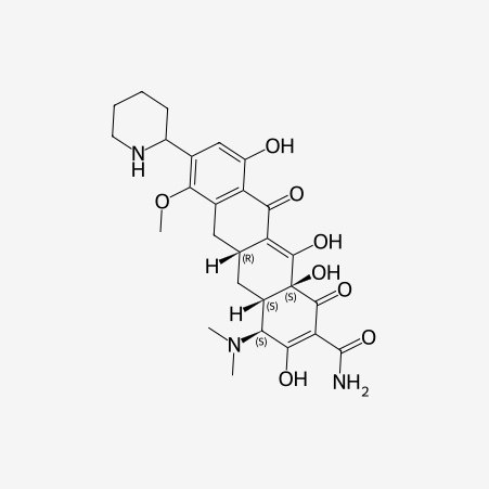 COc1c(C2CCCCN2)cc(O)c2c1C[C@H]1C[C@H]3[C@H](N(C)C)C(O)=C(C(N)=O)C(=O)[C@@]3(O)C(O)=C1C2=O